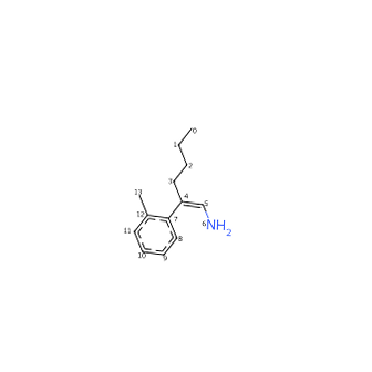 CCCC/C(=C/N)c1ccccc1C